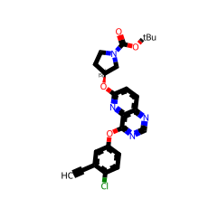 C#Cc1cc(Oc2ncnc3ccc(O[C@H]4CCN(C(=O)OC(C)(C)C)C4)nc23)ccc1Cl